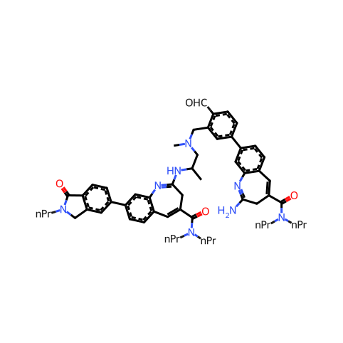 CCCN(CCC)C(=O)C1=Cc2ccc(-c3ccc(C=O)c(CN(C)CC(C)NC4=Nc5cc(-c6ccc7c(c6)CN(CCC)C7=O)ccc5C=C(C(=O)N(CCC)CCC)C4)c3)cc2N=C(N)C1